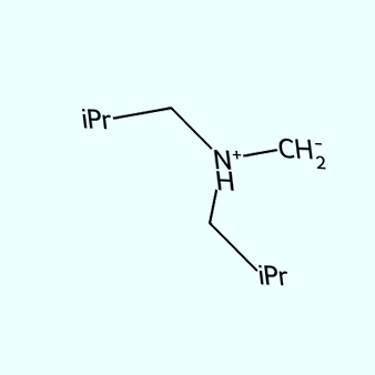 [CH2-][NH+](CC(C)C)CC(C)C